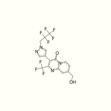 O=c1c(-c2cnn(CC(F)(F)C(F)(F)F)c2)c(C(F)(F)F)nc2cc(CO)ccn12